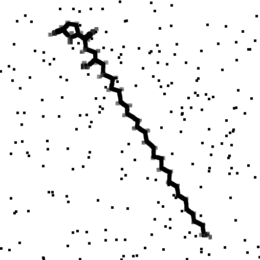 CCCCCCCCCCCCCCCCCCCCCCCCOCC(O)COC(=O)C1CCC(=O)N1